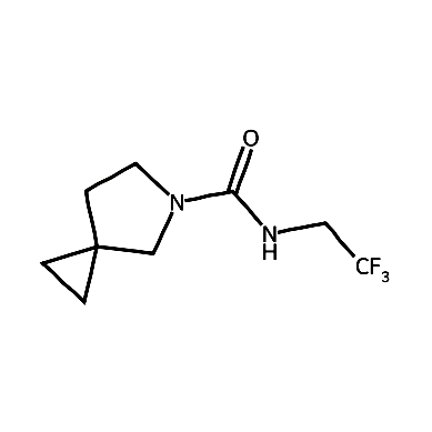 O=C(NCC(F)(F)F)N1CCC2(CC2)C1